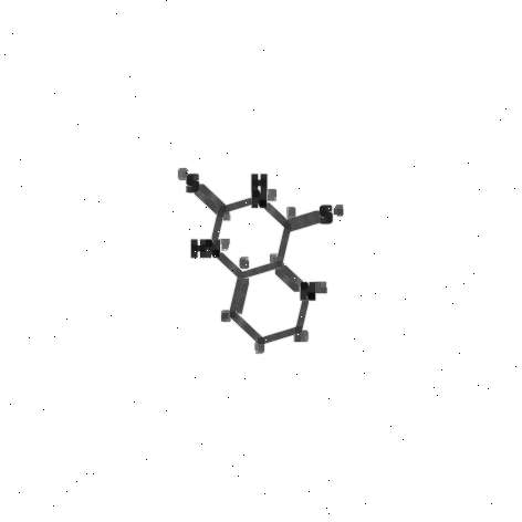 S=c1[nH]c(=S)c2c([nH]1)=CCCN=2